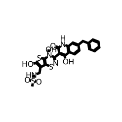 CS(=O)(=O)NCc1c(O)sc2c1SN=C(c1c(O)c3ccc(Cc4ccccc4)cc3[nH]c1=O)N2O